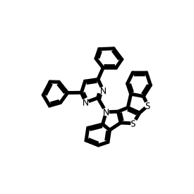 c1ccc(-c2cc(-c3ccccc3)nc(-n3c4ccccc4c4sc5sc6ccccc6c5c43)n2)cc1